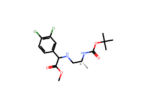 COC(=O)C(NC[C@@H](C)NC(=O)OC(C)(C)C)c1ccc(Cl)c(Cl)c1